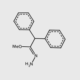 CO/C(=N\N)C(c1ccccc1)c1ccccc1